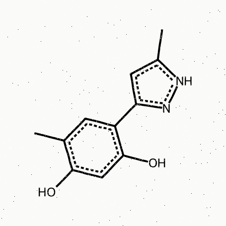 Cc1cc(-c2cc(C)c(O)cc2O)n[nH]1